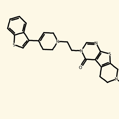 CN1CCc2c(sc3ncn(CCN4CC=C(c5csc6ccccc56)CC4)c(=O)c23)C1